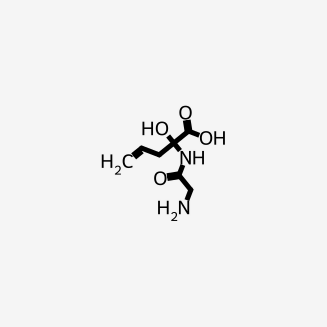 C=CCC(O)(NC(=O)CN)C(=O)O